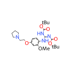 COc1cc(OCCN2CCCC2)ccc1NC(=NC(=O)OC(C)(C)C)NC(=O)OC(C)(C)C